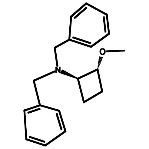 CO[C@@H]1CC[C@H]1N(Cc1ccccc1)Cc1ccccc1